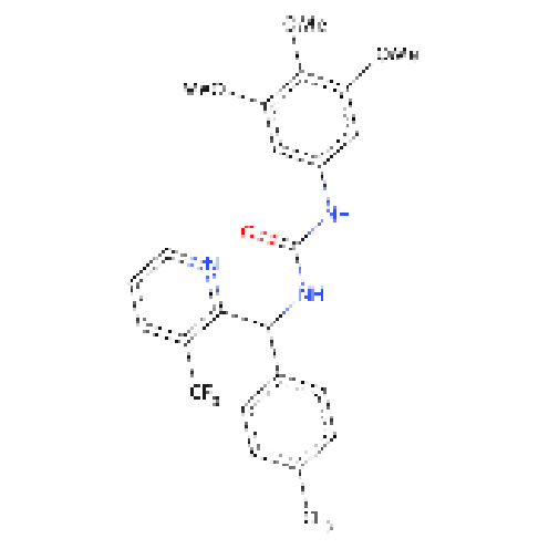 COc1cc(NC(=O)NC(c2ccc(C(F)(F)F)cc2)c2ncccc2C(F)(F)F)cc(OC)c1OC